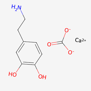 NCCc1ccc(O)c(O)c1.O=C([O-])[O-].[Ca+2]